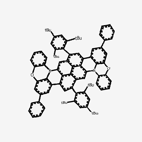 CC(C)(C)c1cc(C(C)(C)C)c(-c2cc3c4c(cc5c(-c6c(C(C)(C)C)cc(C(C)(C)C)cc6C(C)(C)C)cc6c7c(cc2c4c57)B2c4ccccc4Oc4cc(-c5ccccc5)cc-6c42)B2c4ccccc4Oc4cc(-c5ccccc5)cc-3c42)c(C(C)(C)C)c1